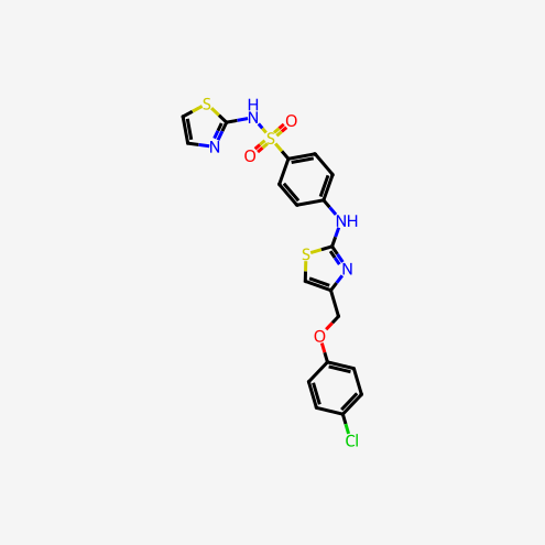 O=S(=O)(Nc1nccs1)c1ccc(Nc2nc(COc3ccc(Cl)cc3)cs2)cc1